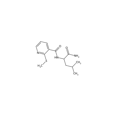 CSc1ncccc1C(=O)NC(CC(C)C)C(N)=O